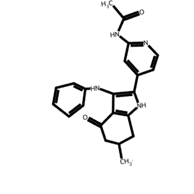 [CH2]C1CC(=O)c2c([nH]c(-c3ccnc(NC(C)=O)c3)c2Nc2ccccc2)C1